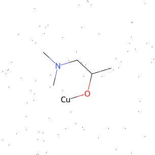 CC(CN(C)C)[O][Cu]